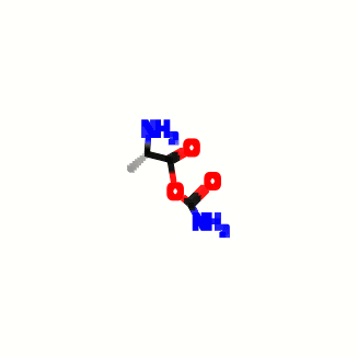 C[C@H](N)C(=O)OC(N)=O